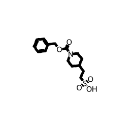 O=C(OCc1ccccc1)N1CCC(CCS(=O)(=O)O)CC1